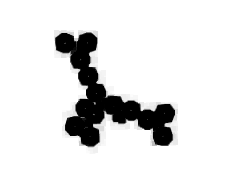 CC1(C)c2cc(-c3ccc4c(c3)c3ccccc3n4-c3ccccc3)ccc2-c2ccc(N(c3ccc(-c4ccc(-c5ccc6c(c5)c5ccccc5n6-c5ccccc5)cc4)cc3)c3ccc(-n4c5ccccc5c5ccccc54)c4ccccc34)cc21